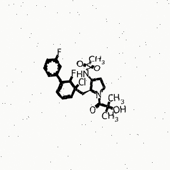 CC(C)(O)C(=O)N1CC[C@H](NS(C)(=O)=O)[C@@H]1CC1(Cl)C=CC=C(c2cccc(F)c2)C1F